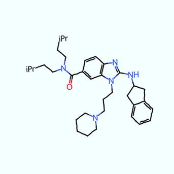 CC(C)CCN(CCC(C)C)C(=O)c1ccc2nc(NC3Cc4ccccc4C3)n(CCCN3CCCCC3)c2c1